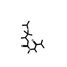 CC(C)SC(C)(C)C(C)CC(=O)N(C)C(C)C(=O)C(C)C